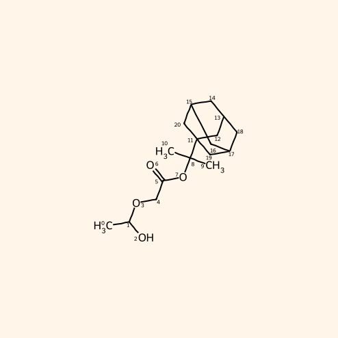 CC(O)OCC(=O)OC(C)(C)C12CC3CC(CC(C3)C1)C2